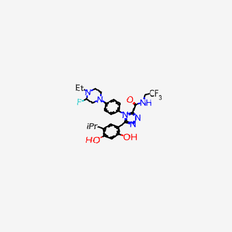 CCN1CCN(c2ccc(-n3c(C(=O)NCC(F)(F)F)nnc3-c3cc(C(C)C)c(O)cc3O)cc2)CC1F